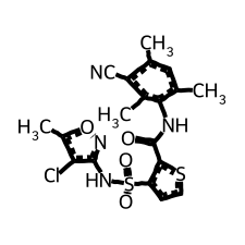 Cc1cc(C)c(NC(=O)c2sccc2S(=O)(=O)Nc2noc(C)c2Cl)c(C)c1C#N